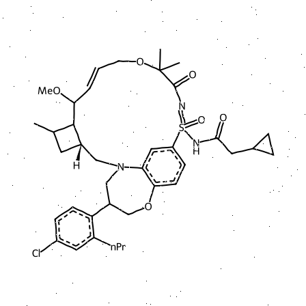 CCCc1cc(Cl)ccc1C1COc2ccc3cc2N(C1)C[C@@H]1CC(C)C1C(OC)/C=C/COC(C)(C)C(=O)N=S3(=O)NC(=O)CC1CC1